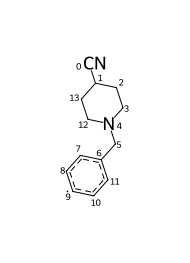 N#CC1CCN(Cc2cc[c]cc2)CC1